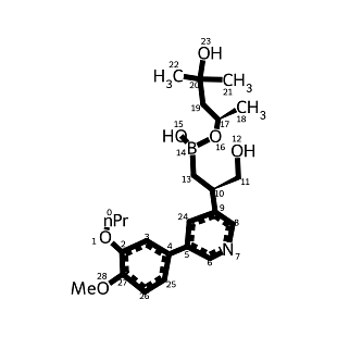 CCCOc1cc(-c2cncc([C@H](CO)CB(O)O[C@H](C)CC(C)(C)O)c2)ccc1OC